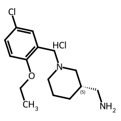 CCOc1ccc(Cl)cc1CN1CCC[C@@H](CN)C1.Cl